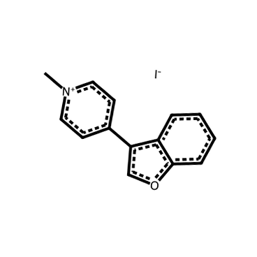 C[n+]1ccc(-c2coc3ccccc23)cc1.[I-]